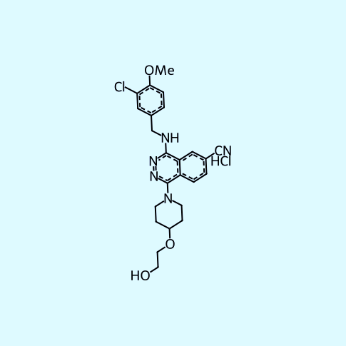 COc1ccc(CNc2nnc(N3CCC(OCCO)CC3)c3ccc(C#N)cc23)cc1Cl.Cl